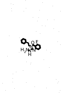 NNc1nc2cccc(F)c2c(=O)n1CCc1ccccc1